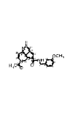 COc1cccc(CNC(=O)c2cc3c[nH]nc4c-3c2CN(C(C)=O)C=C4)c1